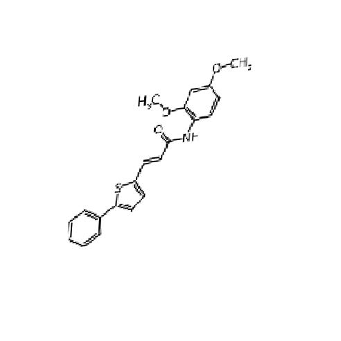 COc1ccc(NC(=O)/C=C/c2ccc(-c3ccccc3)s2)c(OC)c1